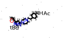 CC(=O)NC1CCC(CCN2CCCN(c3cc(C4CCO4)nc(C(C)(C)C)n3)CC2)CC1